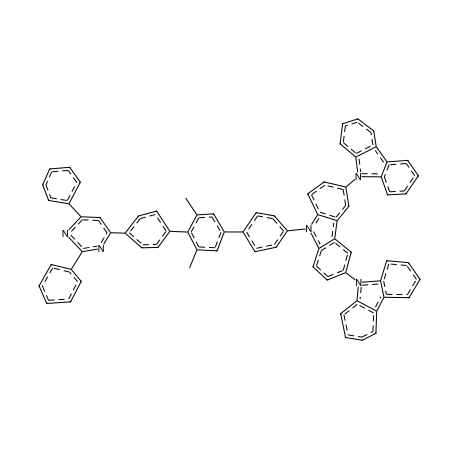 Cc1cc(-c2ccc(-n3c4ccc(-n5c6ccccc6c6ccccc65)cc4c4cc(-n5c6ccccc6c6ccccc65)ccc43)cc2)cc(C)c1-c1ccc(-c2cc(-c3ccccc3)nc(-c3ccccc3)n2)cc1